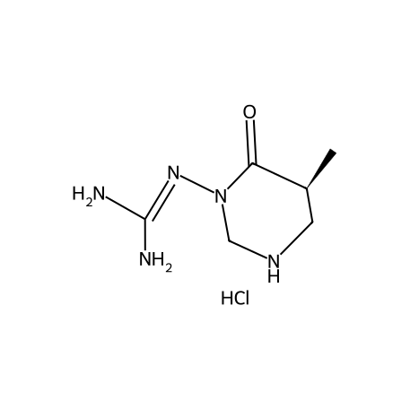 C[C@H]1CNCN(N=C(N)N)C1=O.Cl